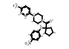 O=C(N1CCN(c2ccc(C(F)(F)F)nn2)CC1)C1(Oc2ccc([N+](=O)[O-])cc2)CCCC1